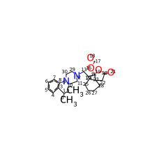 CC(C)c1ccccc1N1CCN(CCC2(OC=O)OC(=O)CC23CCCCC3)CC1